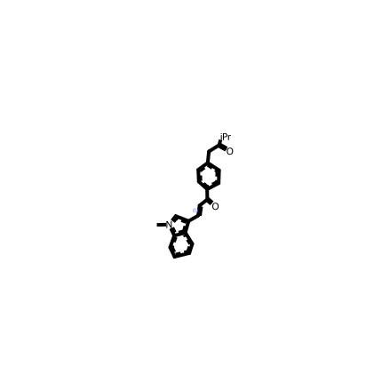 CC(C)C(=O)Cc1ccc(C(=O)/C=C/c2cn(C)c3ccccc23)cc1